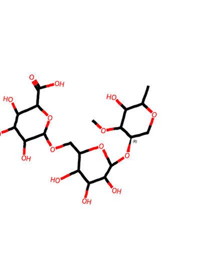 COC1C(O)C(C)OC[C@H]1OC1OC(COC2OC(C(=O)O)C(O)C(O)C2O)C(O)C(O)C1O